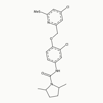 CSc1cc(Cl)cc(COc2ccc(NC(=O)N3C(C)CCC3C)cc2Cl)n1